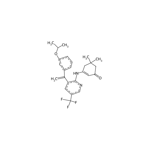 C=C(c1cccc(OC(C)C)c1)c1cc(C(F)(F)F)cnc1NC1=CC(=O)CC(C)(C)C1